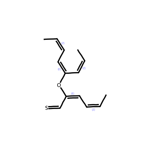 C/C=C\C=C(/C=S)OC(/C=C\C)=C/C=C\C